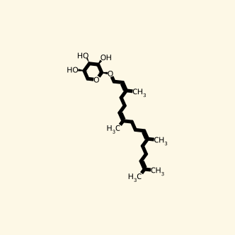 CC(C)=CCCC(C)=CCCC(C)=CCCC(C)=CCO[C@H]1OC[C@@H](O)[C@H](O)[C@H]1O